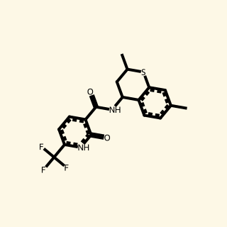 Cc1ccc2c(c1)SC(C)CC2NC(=O)c1ccc(C(F)(F)F)[nH]c1=O